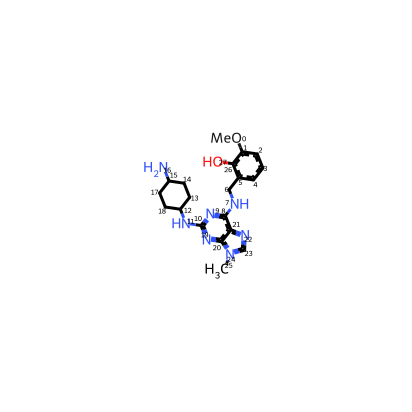 COc1cccc(CNc2nc(NC3CCC(N)CC3)nc3c2ncn3C)c1O